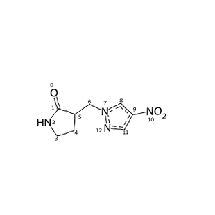 O=C1NCCC1Cn1cc([N+](=O)[O-])cn1